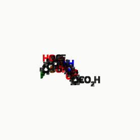 CC1(C)c2ccc(F)cc2Sc2c(O)c(S(=O)(=O)NC3CCN(S(=O)(=O)c4cccc(C(=O)O)c4)CC3)c(C(F)(F)F)c(O)c21